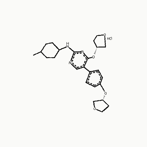 CC1CCC(Nc2ncc(-c3ccc(O[C@@H]4CCOC4)cc3)c(O[C@@H]3CCOC3)n2)CC1.Cl